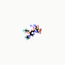 NC(=O)CC1(NC(=O)c2cc(OCC(F)(F)F)c(N3CC(F)(F)C3)cn2)CS(=O)(=O)C1